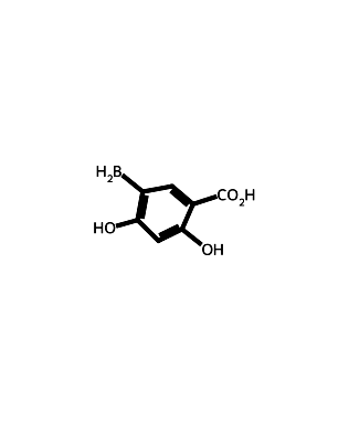 Bc1cc(C(=O)O)c(O)cc1O